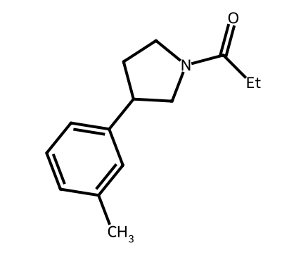 CCC(=O)N1CCC(c2cccc(C)c2)C1